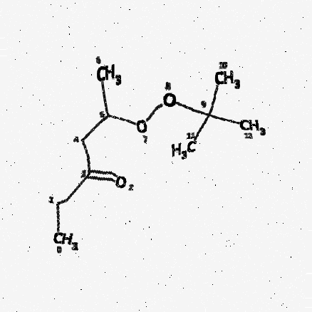 CCC(=O)CC(C)OOC(C)(C)C